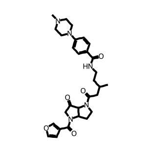 CC(CCNC(=O)c1ccc(N2CCN(C)CC2)cc1)CC(=O)N1CCC2C1C(=O)CN2C(=O)c1ccoc1